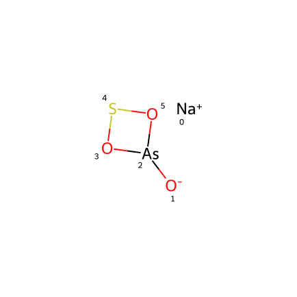 [Na+].[O-][As]1OSO1